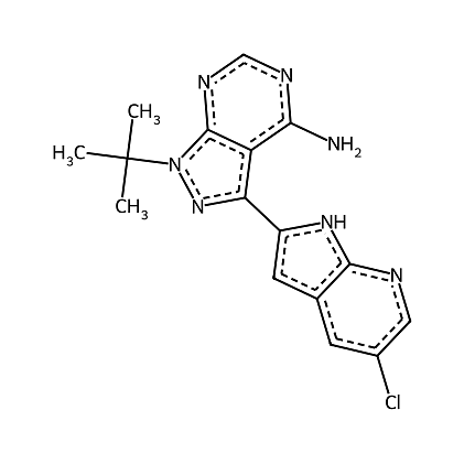 CC(C)(C)n1nc(-c2cc3cc(Cl)cnc3[nH]2)c2c(N)ncnc21